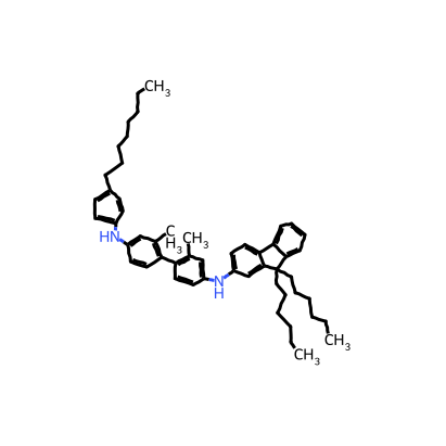 CCCCCCCCc1ccc(Nc2ccc(-c3ccc(Nc4ccc5c(c4)C(CCCCCC)(CCCCCC)c4ccccc4-5)cc3C)c(C)c2)cc1